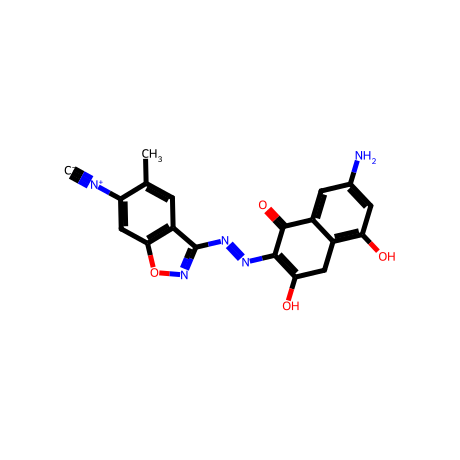 [C-]#[N+]c1cc2onc(N=NC3=C(O)Cc4c(O)cc(N)cc4C3=O)c2cc1C